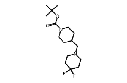 CC(C)(C)OC(=O)N1CCC(CN2CCC(F)(F)CC2)CC1